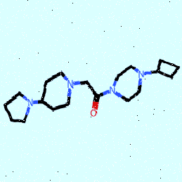 O=C(CN1CCC(N2CCCC2)CC1)N1CCN(C2CCC2)CC1